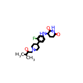 CC(C)C(=O)CN1CCC(c2ccc(NC3CCC(=O)NC3=O)cc2F)CC1